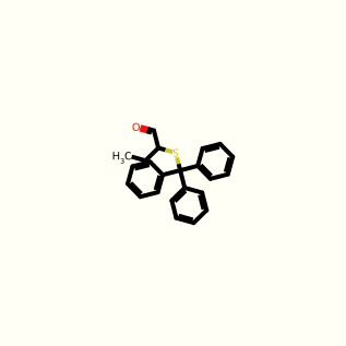 CCC(C=O)SC(c1ccccc1)(c1ccccc1)c1ccccc1